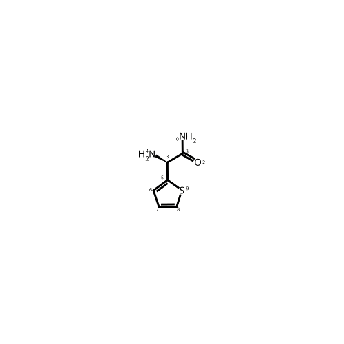 NC(=O)[C@H](N)c1cccs1